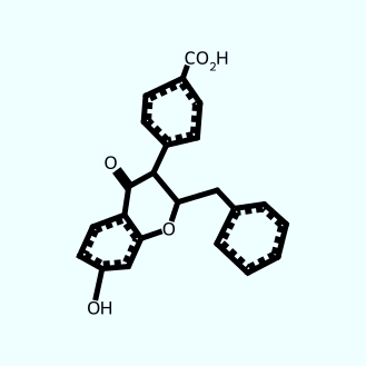 O=C(O)c1ccc(C2C(=O)c3ccc(O)cc3OC2Cc2ccccc2)cc1